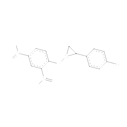 O=[N+]([O-])c1ccc(ON2CC2c2ccc(Br)cc2)c([N+](=O)[O-])c1